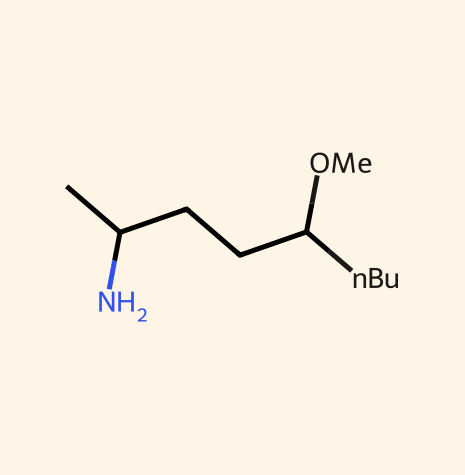 CCCCC(CCC(C)N)OC